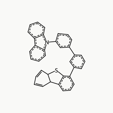 C1=CC2Sc3c(-c4cccc(-c5cccc(-n6c7ccccc7c7ccccc76)c5)c4)cccc3C2C=C1